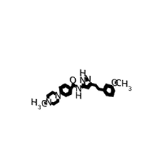 COc1cccc(CCc2cc(NC(=O)c3ccc(N4CCN(C)CC4)cc3)[nH]n2)c1